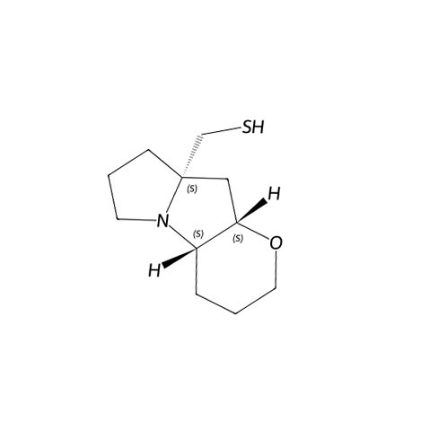 SC[C@@]12CCCN1[C@H]1CCCO[C@H]1C2